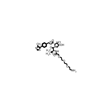 Cc1ncsc1-c1ccc(CNC(=O)[C@@H]2C[C@@H](O)CN2C(=O)[C@@H](NC(=O)COCCOCCOCCN)C(C)(C)C)cc1.Cl